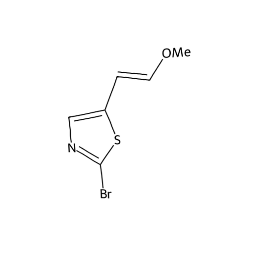 COC=Cc1cnc(Br)s1